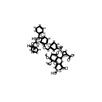 COc1ccc([C@H](Cc2c(Cl)c[n+](O)cc2Cl)C2C(C(=O)[O-])CN2S(=O)(=O)c2cccc(COc3cccc([C@@H](NC(=O)O[C@H]4CN5CCC4CC5)c4ccccc4)c3)c2)cc1OC